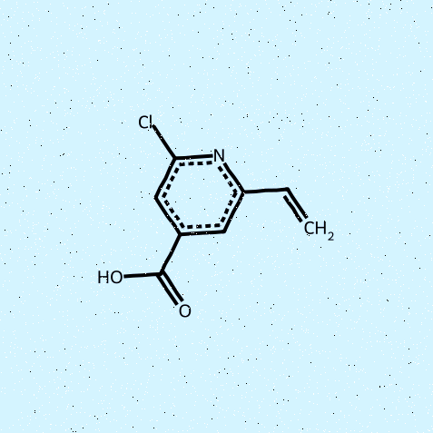 C=Cc1cc(C(=O)O)cc(Cl)n1